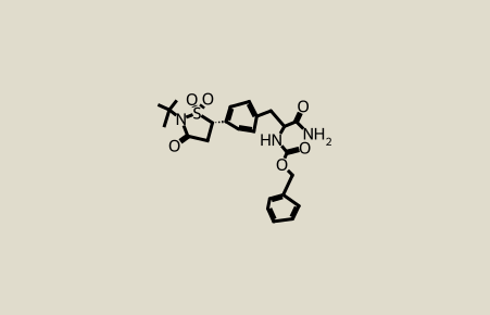 CC(C)(C)N1C(=O)C[C@@H](c2ccc(CC(NC(=O)OCc3ccccc3)C(N)=O)cc2)S1(=O)=O